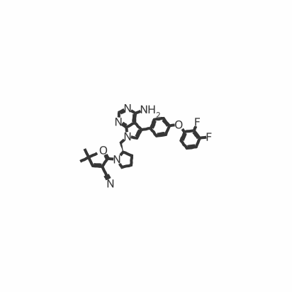 CC(C)(C)/C=C(/C#N)C(=O)N1CCC[C@@H]1Cn1cc(-c2ccc(Oc3cccc(F)c3F)cc2)c2c(N)ncnc21